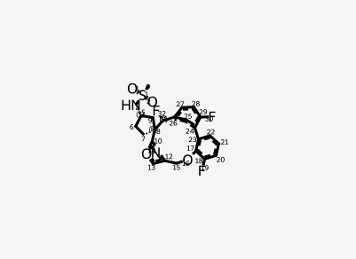 CS(=O)(=O)N[C@H]1CC[C@@]2(C1)c1nc(co1)COc1c(F)cccc1-c1cc(ccc1F)[C@H]2F